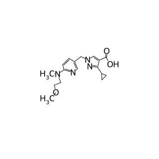 COCCN(C)c1ccc(Cn2cc(C(=O)O)c(C3CC3)n2)cn1